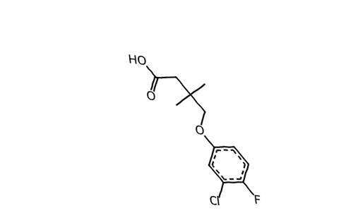 CC(C)(COc1ccc(F)c(Cl)c1)CC(=O)O